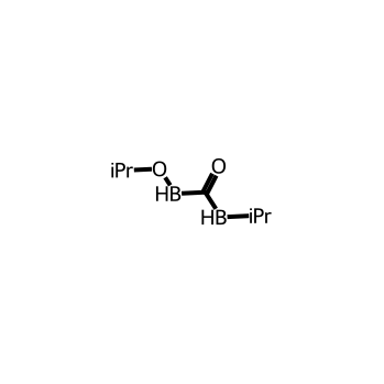 CC(C)BC(=O)BOC(C)C